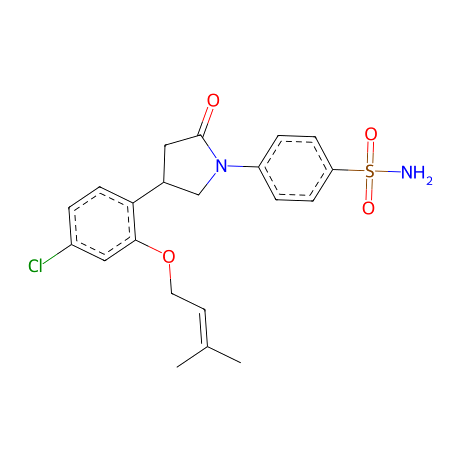 CC(C)=CCOc1cc(Cl)ccc1C1CC(=O)N(c2ccc(S(N)(=O)=O)cc2)C1